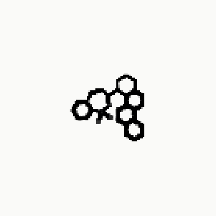 O=S1(=O)N=C(C2CCCc3ccc4c(ccc5ccccc54)c32)C=Cc2ccccc21